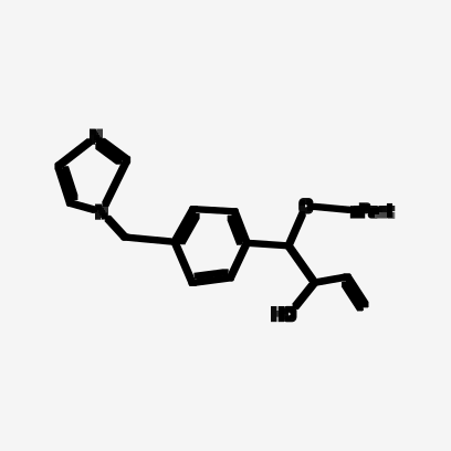 C=CC(O)C(OCCCCC)c1ccc(Cn2ccnc2)cc1